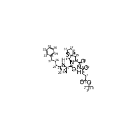 CC(C)(C)OC(=O)CCC(=O)NC(=O)C1CC2(CN1C(=O)c1ncc(CCCc3ccccc3)[nH]1)SCCS2